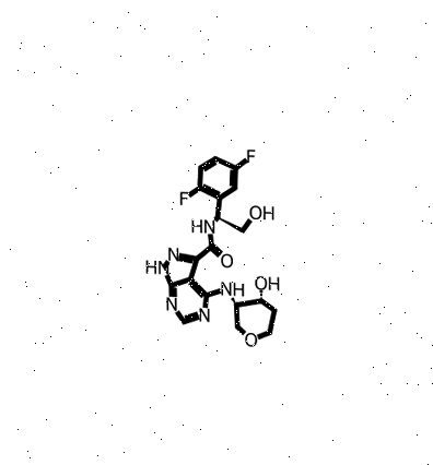 O=C(N[C@H](CO)c1cc(F)ccc1F)c1n[nH]c2ncnc(N[C@H]3COCC[C@H]3O)c12